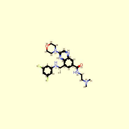 C[C@H](Nc1cc(F)cc(F)c1)c1cc(C(=O)NCCN(C)C)cc2ncc(N3CCOCC3)nc12